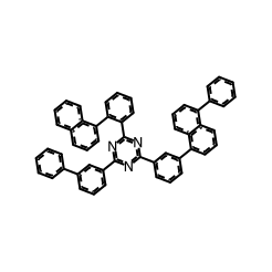 c1ccc(-c2cccc(-c3nc(-c4cccc(-c5cccc6c(-c7ccccc7)cccc56)c4)nc(-c4ccccc4-c4cccc5ccccc45)n3)c2)cc1